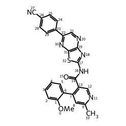 COc1ccccc1-c1cc(C)ncc1C(=O)Nc1nc2ncc(-c3ccc(C#N)cc3)nc2s1